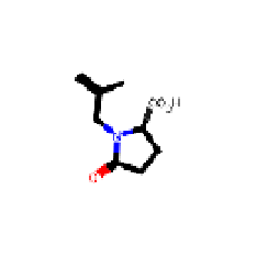 C=C(C)CN1C(=O)CCC1C(=O)O